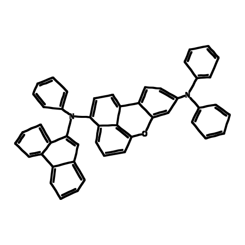 c1ccc(N(c2ccccc2)c2ccc3c(c2)Oc2cccc4c(N(c5ccccc5)c5cc6ccccc6c6ccccc56)ccc-3c24)cc1